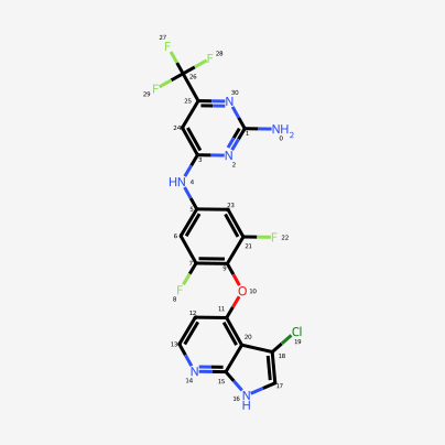 Nc1nc(Nc2cc(F)c(Oc3ccnc4[nH]cc(Cl)c34)c(F)c2)cc(C(F)(F)F)n1